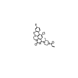 C=CC(=O)N1CCN(c2nc(=O)n3c4c(c(-c5ccc(F)cc5F)c(Cl)cc24)SCC3)[C@@H](C)C1